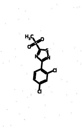 CS(=O)(=O)c1nc(-c2ccc(Cl)cc2Cl)ns1